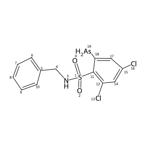 O=S(=O)(NCc1ccccc1)c1c(Cl)cc(Cl)cc1[AsH2]